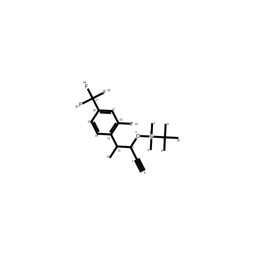 C#CC(O[Si](C)(C)C(C)(C)C)C(C)c1ccc(C(F)(F)F)cc1F